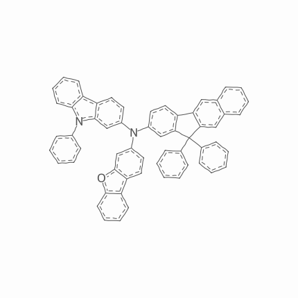 c1ccc(-n2c3ccccc3c3ccc(N(c4ccc5c(c4)C(c4ccccc4)(c4ccccc4)c4cc6ccccc6cc4-5)c4ccc5c(c4)oc4ccccc45)cc32)cc1